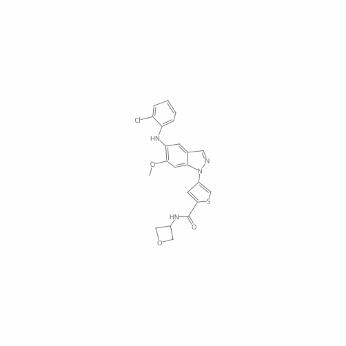 COc1cc2c(cnn2-c2csc(C(=O)NC3COC3)c2)cc1Nc1ccccc1Cl